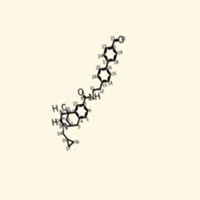 CC1C2Cc3ccc(C(=O)NCCc4ccc(-c5ccc(C=O)cc5)cc4)cc3C1(C)CCN2CC1CC1